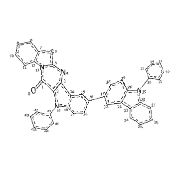 O=c1c2c(nc3sc4ccccc4n13)c1cc(-c3ccc4c(c3)c3ccccc3n4-c3ccccc3)ccc1n2-c1ccccc1